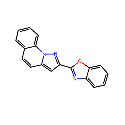 c1ccc2c(c1)ccc1cc(-c3nc4ccccc4o3)nn12